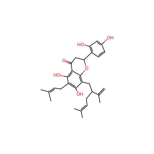 C=C(C)C(CC=C(C)C)Cc1c(O)c(CC=C(C)C)c(O)c2c1OC(c1ccc(O)cc1O)CC2=O